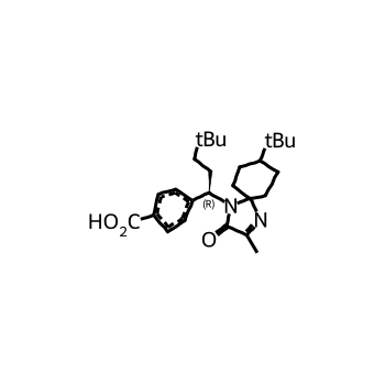 CC1=NC2(CCC(C(C)(C)C)CC2)N([C@H](CCC(C)(C)C)c2ccc(C(=O)O)cc2)C1=O